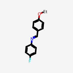 CCOc1ccc(C=Nc2ccc(F)cc2)cc1